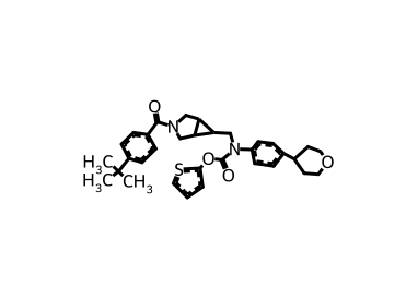 CC(C)(C)c1ccc(C(=O)N2CC3C(C2)C3CN(C(=O)Oc2cccs2)c2ccc(C3CCOCC3)cc2)cc1